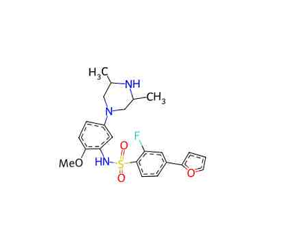 COc1ccc(N2CC(C)NC(C)C2)cc1NS(=O)(=O)c1ccc(-c2ccco2)cc1F